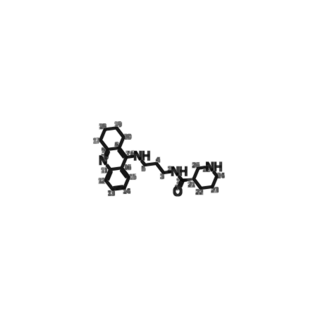 O=C(NCCCNc1c2c(nc3ccccc13)CCCC2)[C@@H]1CCCNC1